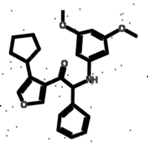 COc1cc(NC(C(=O)c2cocc2C2CCCC2)c2ccccc2)cc(OC)c1